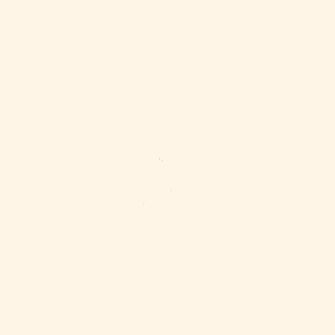 Cc1ccc(C)c(OC(C)NCC(O)c2ccccc2)c1